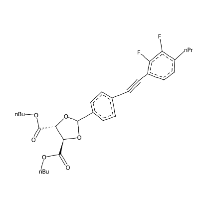 CCCCOC(=O)[C@@H]1OC(c2ccc(C#Cc3ccc(CCC)c(F)c3F)cc2)O[C@H]1C(=O)OCCCC